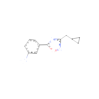 Nc1cccc(-c2nc(CC3CC3)no2)c1